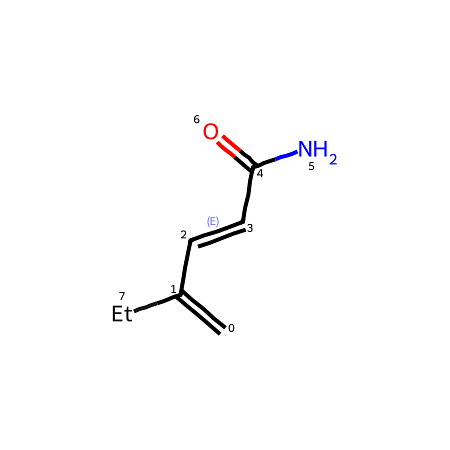 C=C(/C=C/C(N)=O)CC